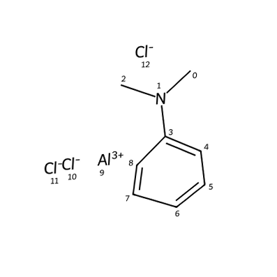 CN(C)c1ccccc1.[Al+3].[Cl-].[Cl-].[Cl-]